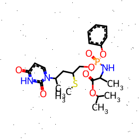 CSC(COP(=O)(NC(C)C(=O)OC(C)C)Oc1ccccc1)CC(C)n1ccc(=O)[nH]c1=O